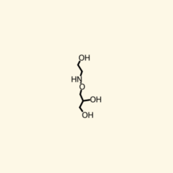 OCCNOCC(O)CO